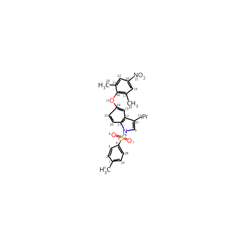 Cc1ccc(S(=O)(=O)n2cc(C(C)C)c3cc(Oc4c(C)cc([N+](=O)[O-])cc4C)ccc32)cc1